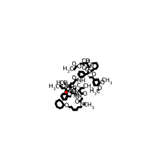 C=CC(=O)OCC(C)(C)C(=O)C(=O)N1CCCCC1C(=O)O[C@H](CCc1ccc(OC)c(OC)c1)c1cccc(NC(=O)CCC(=O)N(C)C(CC(C)C)C(=O)N[C@H](Cc2ccccc2)C(=O)N(C)C(C(=O)NCC(=O)N(C)CC/C=C\CCOC2CCCCCCC2)C(C)CC)c1